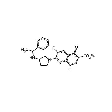 CCOC(=O)c1c[nH]c2nc(N3CCC(NC(C)c4ccccc4)C3)c(F)cc2c1=O